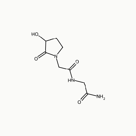 NC(=O)CNC(=O)CN1CCC(O)C1=O